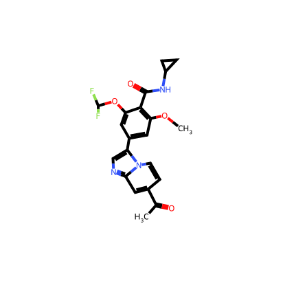 COc1cc(-c2cnc3cc(C(C)=O)ccn23)cc(OC(F)F)c1C(=O)NC1CC1